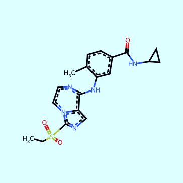 CCS(=O)(=O)c1ncc2c(Nc3cc(C(=O)NC4CC4)ccc3C)nccn12